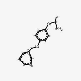 CC(N)Oc1ccc(OCc2ccccc2)cc1